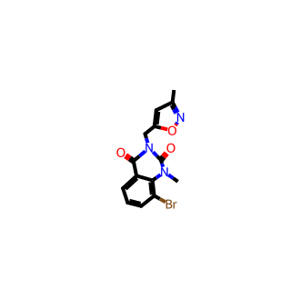 Cc1cc(Cn2c(=O)c3cccc(Br)c3n(C)c2=O)on1